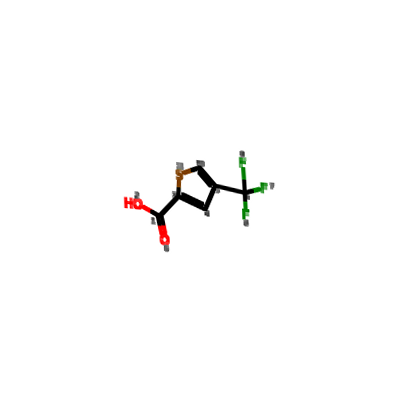 O=C(O)c1cc(C(F)(F)F)cs1